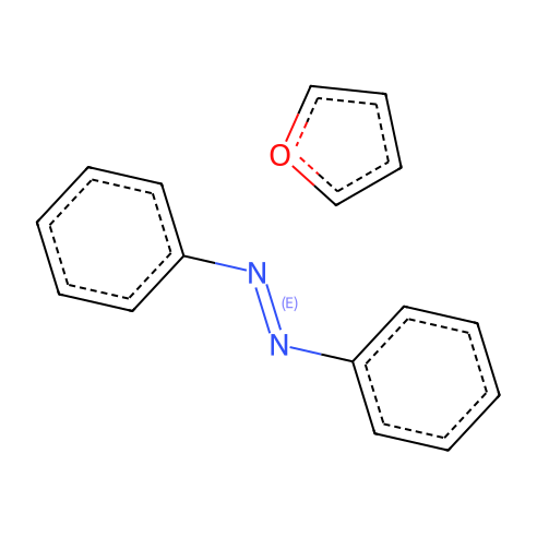 c1ccc(/N=N/c2ccccc2)cc1.c1ccoc1